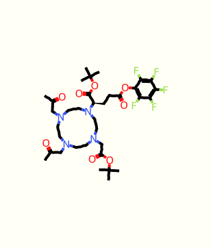 CC(=O)CN1CCN(CC(C)=O)CCN([C@H](CCC(=O)Oc2c(F)c(F)c(F)c(F)c2F)C(=O)OC(C)(C)C)CCN(CC(=O)OC(C)(C)C)CC1